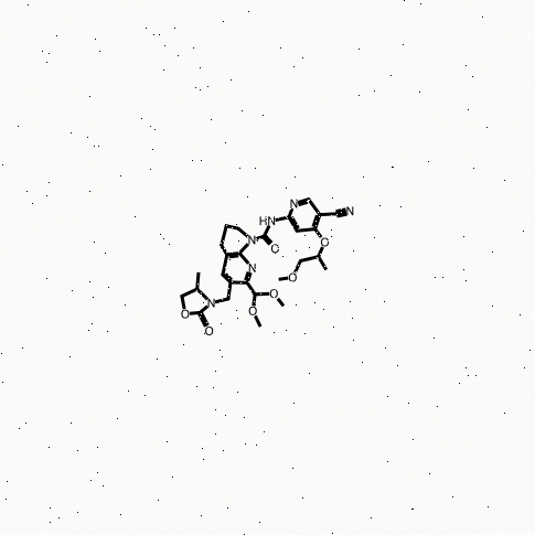 COCC(C)Oc1cc(NC(=O)N2CCCc3cc(CN4C(=O)OCC4C)c(C(OC)OC)nc32)ncc1C#N